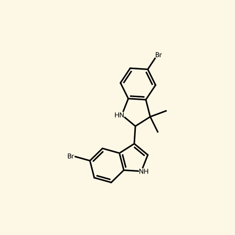 CC1(C)c2cc(Br)ccc2NC1c1c[nH]c2ccc(Br)cc12